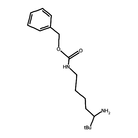 CC(C)(C)C(N)CCCCNC(=O)OCc1ccccc1